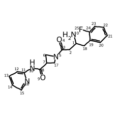 NC(CC(=O)N1CC(C(=O)Nc2ccccn2)C1)Cc1ccccc1F